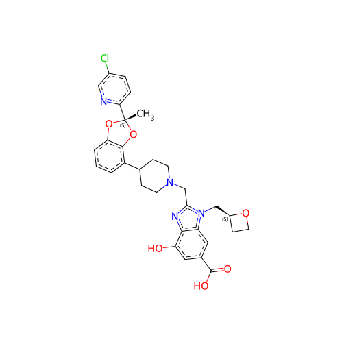 C[C@]1(c2ccc(Cl)cn2)Oc2cccc(C3CCN(Cc4nc5c(O)cc(C(=O)O)cc5n4C[C@@H]4CCO4)CC3)c2O1